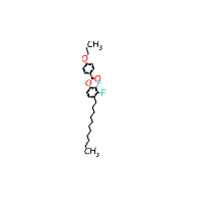 CCCCCCCCCCCc1ccc(OC(=O)c2ccc(OCCC)cc2)c(F)c1F